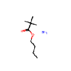 CCCCOC(=O)C(C)(C)C.N